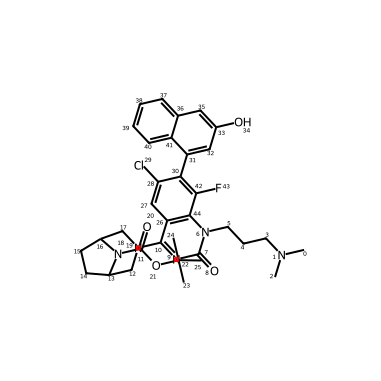 CN(C)CCCn1c(=O)nc(N2CC3CCC(C2)N3C(=O)OC(C)(C)C)c2cc(Cl)c(-c3cc(O)cc4ccccc34)c(F)c21